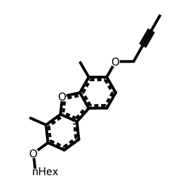 CC#CCOc1ccc2c(oc3c(C)c(OCCCCCC)ccc32)c1C